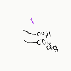 CC(=O)O.CC(=O)O.[Hg].[I]